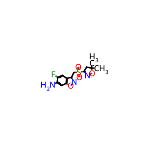 CC1(C)CC(S(=O)(=O)Cc2noc3cc(N)c(F)cc23)=NO1